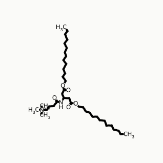 CCCCCCCCCCCCCCOC(=O)CC(CC(=O)OCCCCCCCCCCCCCC)NC(=O)CCC[N+](C)(C)C